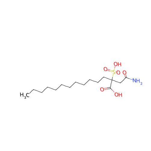 CCCCCCCCCCCCC(CC(N)=O)(C(=O)O)S(=O)(=O)O